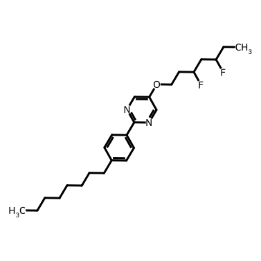 CCCCCCCCc1ccc(-c2ncc(OCCC(F)CC(F)CC)cn2)cc1